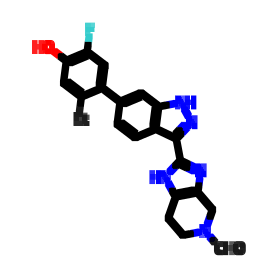 CCc1cc(O)c(F)cc1-c1ccc2c(-c3nc4c([nH]3)CCN(C=O)C4)n[nH]c2c1